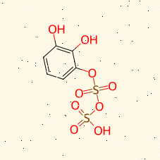 O=S(=O)(O)OS(=O)(=O)Oc1cccc(O)c1O